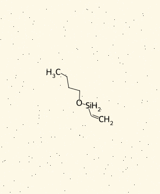 C=C[SiH2]OCCCC